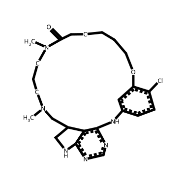 CN1CCCN(C)C(=O)CCCCCOc2cc(ccc2Cl)Nc2ncnc3c2C(CN3)C1